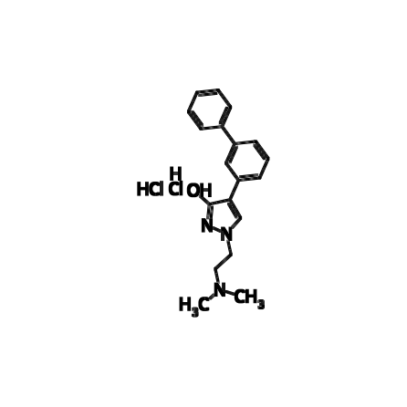 CN(C)CCn1cc(-c2cccc(-c3ccccc3)c2)c(O)n1.Cl.Cl